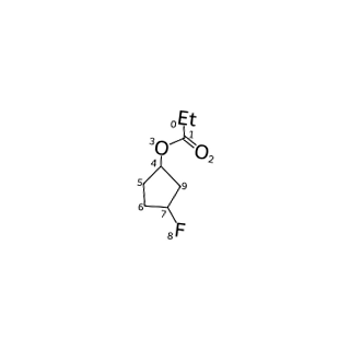 CCC(=O)OC1CCC(F)C1